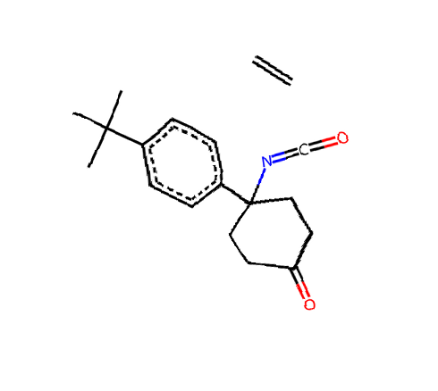 C=C.CC(C)(C)c1ccc(C2(N=C=O)CCC(=O)CC2)cc1